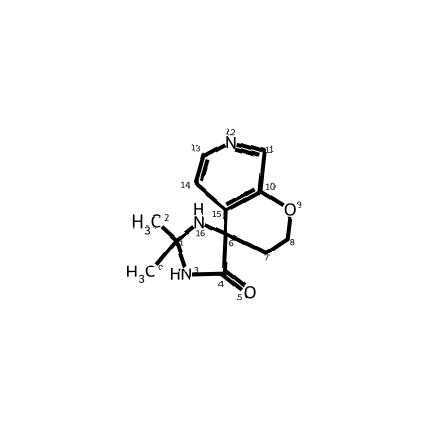 CC1(C)NC(=O)C2(CCOc3cnccc32)N1